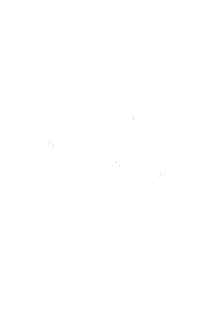 Bc1nc2c(S(=O)(=O)C/C(F)=C/CN)c(B)c(B)c(B)c2c(B)c1B